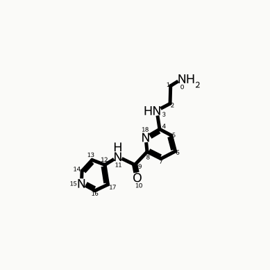 NCCNc1cccc(C(=O)Nc2ccncc2)n1